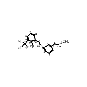 COCc1cccc(OCc2cccc(C(F)(F)F)c2F)c1